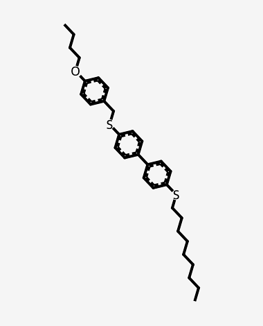 CCCCCCCCCSc1ccc(-c2ccc(SCc3ccc(OCCCC)cc3)cc2)cc1